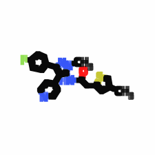 Cc1csc(CC(=O)Nc2c(-c3ccncc3)c(-c3ccc(F)cc3)nn2C)c1